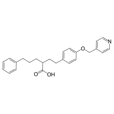 O=C(O)C(CCCc1ccccc1)CCc1ccc(OCc2ccncc2)cc1